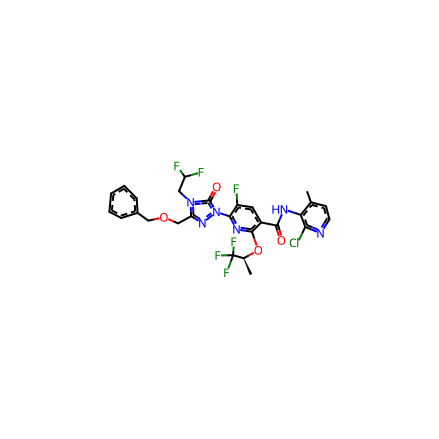 Cc1ccnc(Cl)c1NC(=O)c1cc(F)c(-n2nc(COCc3ccccc3)n(CC(F)F)c2=O)nc1O[C@@H](C)C(F)(F)F